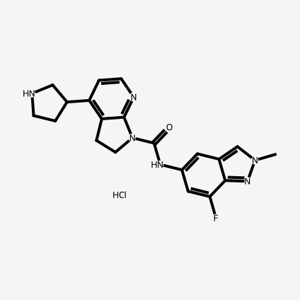 Cl.Cn1cc2cc(NC(=O)N3CCc4c(C5CCNC5)ccnc43)cc(F)c2n1